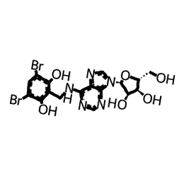 OC[C@H]1O[C@@H](n2cnc3c(NCc4c(O)c(Br)cc(Br)c4O)ncnc32)[C@H](O)[C@@H]1O